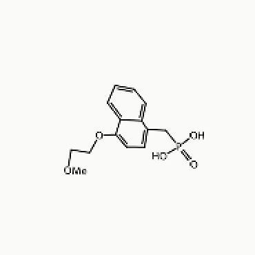 COCCOc1ccc(CP(=O)(O)O)c2ccccc12